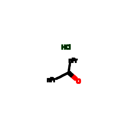 CCCC(=O)CCC.Cl